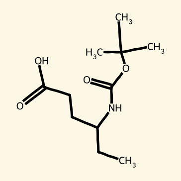 CCC(CCC(=O)O)NC(=O)OC(C)(C)C